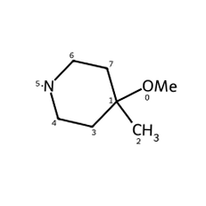 COC1(C)CC[N]CC1